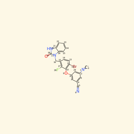 [C-]#[N+]c1cc(C#N)cc(Oc2c(Br)ccc(Cn3c(=O)[nH]c4ccccc43)c2F)c1